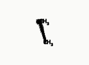 CCCCCCCCCCCCCCCCCCc1ccccc1C